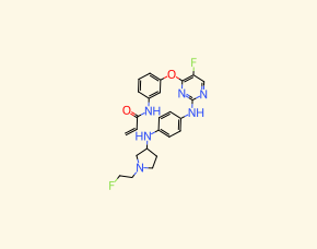 C=CC(=O)Nc1cccc(Oc2nc(Nc3ccc(NC4CCN(CCF)C4)cc3)ncc2F)c1